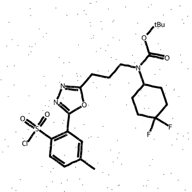 Cc1ccc(S(=O)(=O)Cl)c(-c2nnc(CCCN(C(=O)OC(C)(C)C)C3CCC(F)(F)CC3)o2)c1